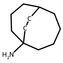 NC12CCCCC(CCC1)CC2